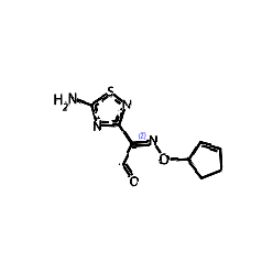 Nc1nc(/C([C]=O)=N/OC2C=CCC2)ns1